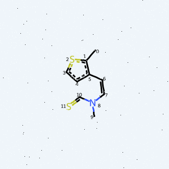 Cc1sccc1/C=C\N(C)C=S